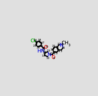 CN1CCc2cc(C(=O)N3CC[C@@H](NC(=O)c4ccc(Cl)cc4)C3)ccc2C1